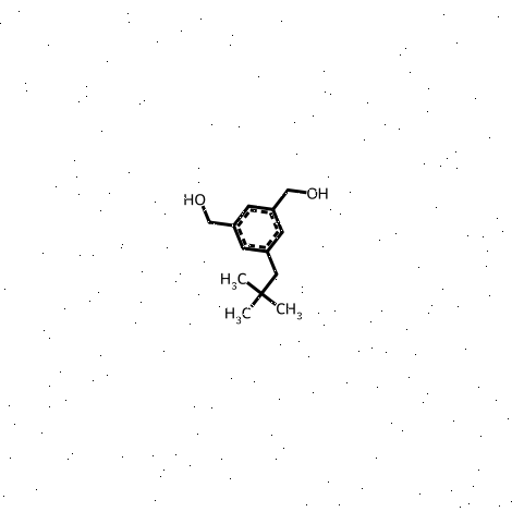 CC(C)(C)Cc1cc(CO)cc(CO)c1